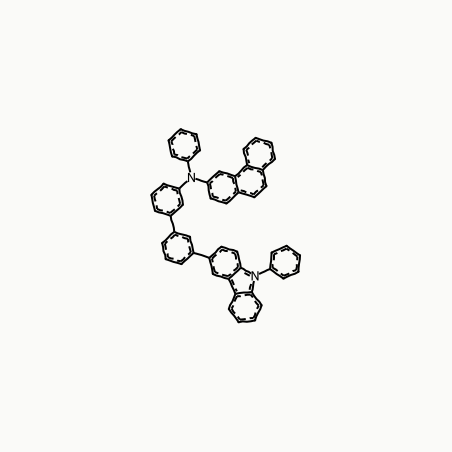 c1ccc(N(c2cccc(-c3cccc(-c4ccc5c(c4)c4ccccc4n5-c4ccccc4)c3)c2)c2ccc3ccc4ccccc4c3c2)cc1